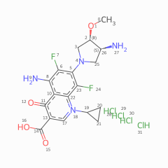 CO[C@@H]1CN(c2c(F)c(N)c3c(=O)c(C(=O)O)cn(C4CC4)c3c2F)C[C@@H]1N.Cl.Cl.Cl.Cl